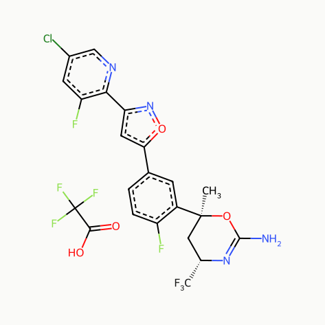 C[C@@]1(c2cc(-c3cc(-c4ncc(Cl)cc4F)no3)ccc2F)C[C@@H](C(F)(F)F)N=C(N)O1.O=C(O)C(F)(F)F